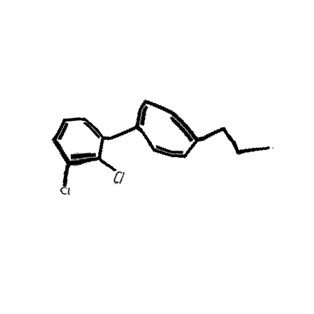 [CH2]CCc1ccc(-c2cccc(Cl)c2Cl)cc1